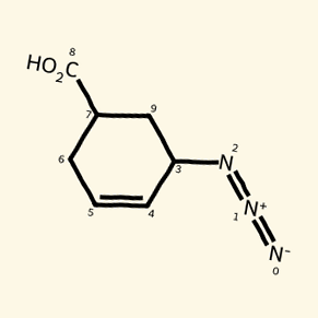 [N-]=[N+]=NC1C=CCC(C(=O)O)C1